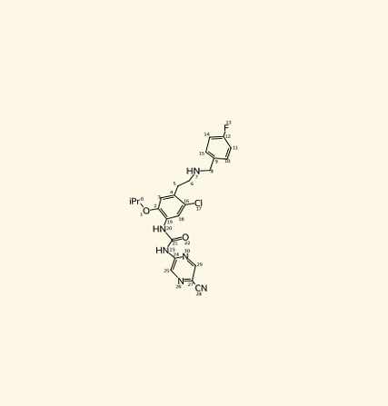 CC(C)Oc1cc(CCNCc2ccc(F)cc2)c(Cl)cc1NC(=O)Nc1cnc(C#N)cn1